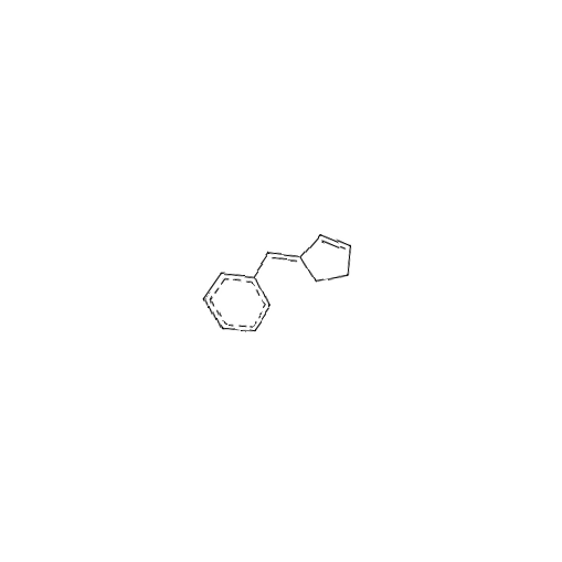 C1=CC(=Cc2ccccc2)CC1